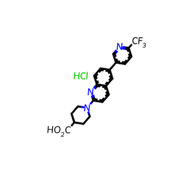 Cl.O=C(O)C1CCN(c2ccc3cc(-c4ccc(C(F)(F)F)nc4)ccc3n2)CC1